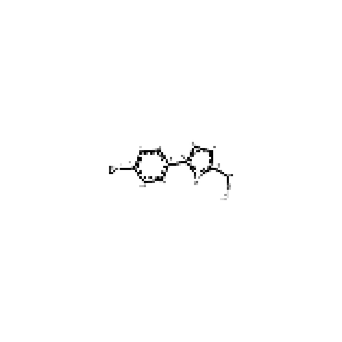 Brc1ccc(-c2ccc(CI)o2)cc1